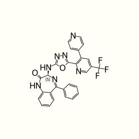 O=C1Nc2ccccc2C(c2ccccc2)=N[C@@H]1Nc1nnc(-c2ncc(C(F)(F)F)cc2-c2ccncc2)o1